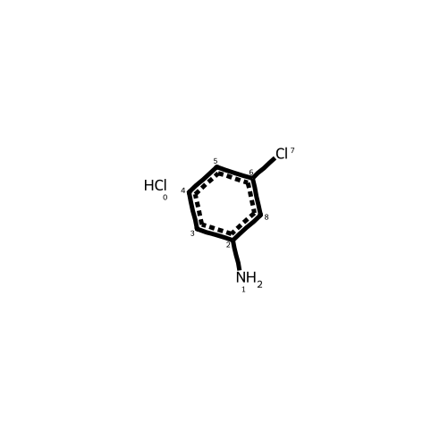 Cl.Nc1cccc(Cl)c1